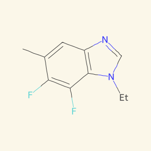 CCn1cnc2cc(C)c(F)c(F)c21